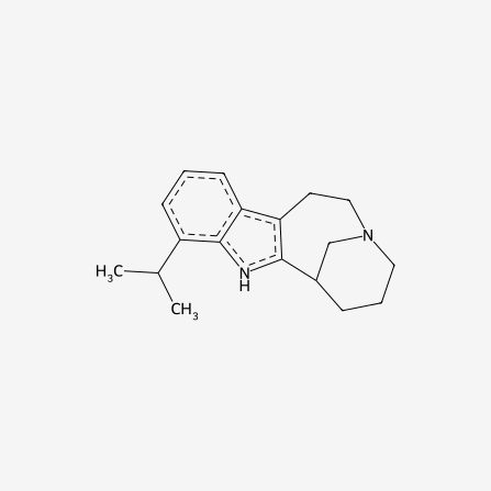 CC(C)c1cccc2c3c([nH]c12)C1CCCN(CC3)C1